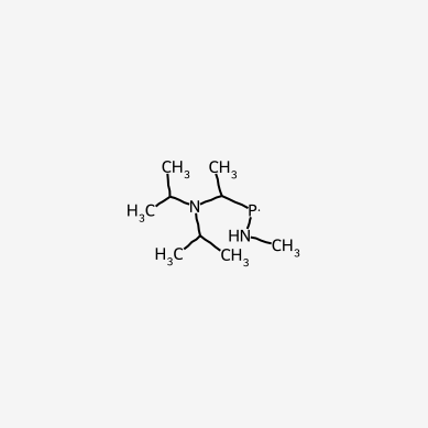 CN[P]C(C)N(C(C)C)C(C)C